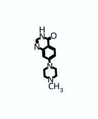 CN1CCN(c2ccc3c(=O)[nH]cnc3c2)CC1